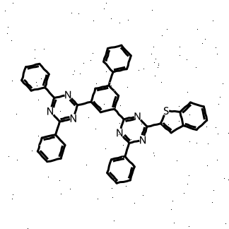 c1ccc(-c2cc(-c3nc(-c4ccccc4)nc(-c4ccccc4)n3)cc(-c3nc(-c4ccccc4)nc(-c4cc5ccccc5s4)n3)c2)cc1